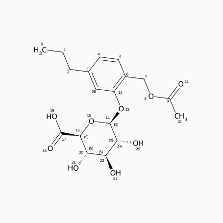 CCCc1ccc(COC(C)=O)c(O[C@@H]2O[C@H](C(=O)O)[C@@H](O)[C@H](O)[C@H]2O)c1